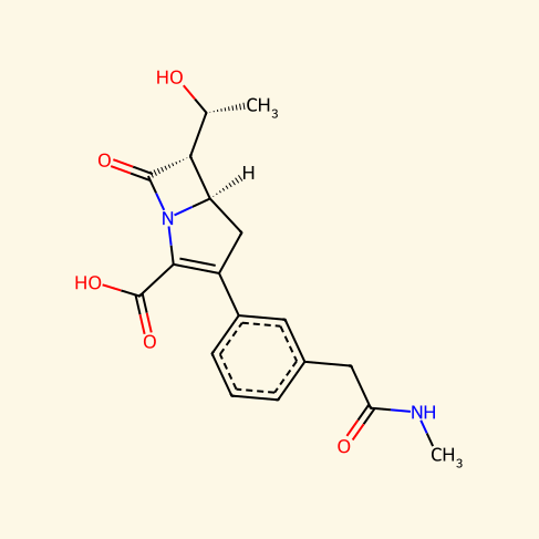 CNC(=O)Cc1cccc(C2=C(C(=O)O)N3C(=O)[C@H]([C@@H](C)O)[C@H]3C2)c1